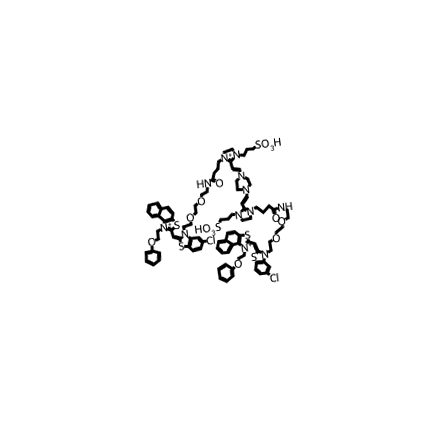 O=C(CCC[N+]1=C(C=CN2CCN(C=CC3=[N+](CCCC(=O)NCCOCCOCCN4C(=Cc5sc6ccc7ccccc7c6[n+]5CCOc5ccccc5)Sc5ccc(Cl)cc54)CCN3CCCS(=O)(=O)O)CC2)N(CCCS(=O)(=O)O)CC1)NCCOCCOCCN1C(=Cc2sc3ccc4ccccc4c3[n+]2CCOc2ccccc2)Sc2ccc(Cl)cc21